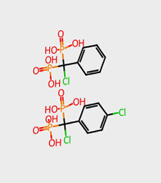 O=P(O)(O)C(Cl)(c1ccc(Cl)cc1)P(=O)(O)O.O=P(O)(O)C(Cl)(c1ccccc1)P(=O)(O)O